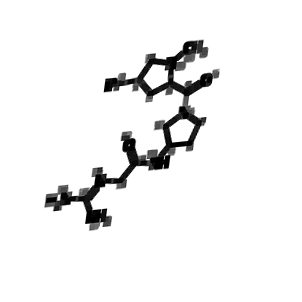 CC(C)C1CC(C(=O)N2CCC(NC(=O)CN=C(N)N)C2)N(C)C1